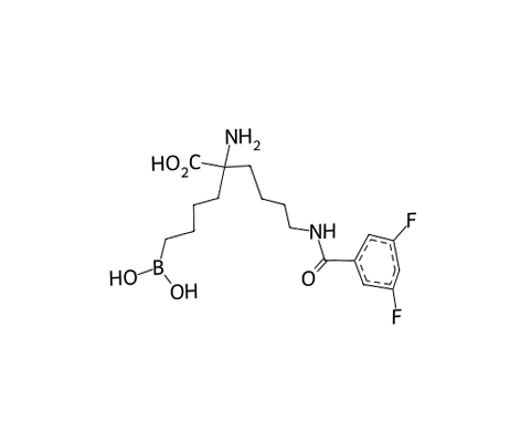 NC(CCCCNC(=O)c1cc(F)cc(F)c1)(CCCCB(O)O)C(=O)O